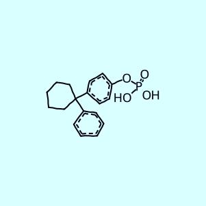 O=P(O)(O)Oc1ccc(C2(c3ccccc3)CCCCC2)cc1